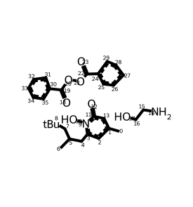 Cc1cc(CC(C)CC(C)(C)C)n(O)c(=O)c1.NCCO.O=C(OOC(=O)c1ccccc1)c1ccccc1